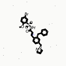 COc1ccc(Br)cc1S(=O)(=O)NC(=O)/C=C/c1ccc(Cn2cccn2)cc1Cc1ccccc1